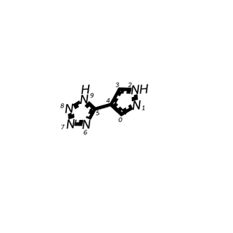 [c]1n[nH]cc1-c1nnn[nH]1